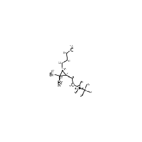 CC(C)(C)[Si](C)(C)OCC1C(CCCCl)C1(Br)Br